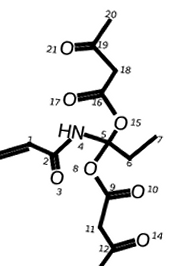 C=CC(=O)NC(CC)(OC(=O)CC(C)=O)OC(=O)CC(C)=O